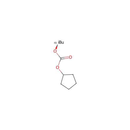 C[CH][C@H](C)OC(=O)OC1CCCC1